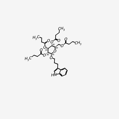 CCCC(=O)OC[C@H]1O[C@@H](OCCCc2c[nH]c3ccccc23)[C@H](OC(=O)CCC)[C@@H](OC(=O)CCC)[C@@H]1OC(=O)CCC